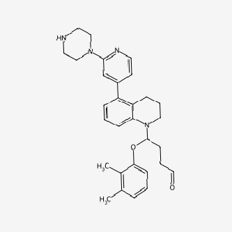 Cc1cccc(OC(CCC=O)N2CCCc3c(-c4ccnc(N5CCNCC5)c4)cccc32)c1C